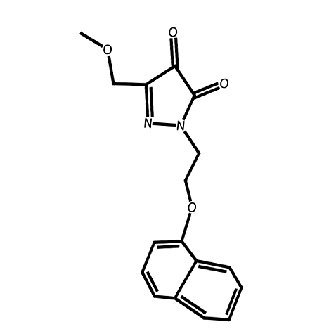 COCC1=NN(CCOc2cccc3ccccc23)C(=O)C1=O